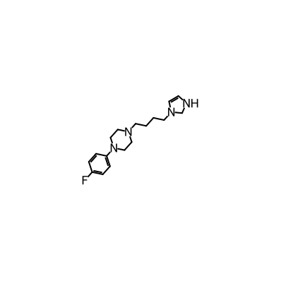 Fc1ccc(N2CCN(CCCCN3C=CNC3)CC2)cc1